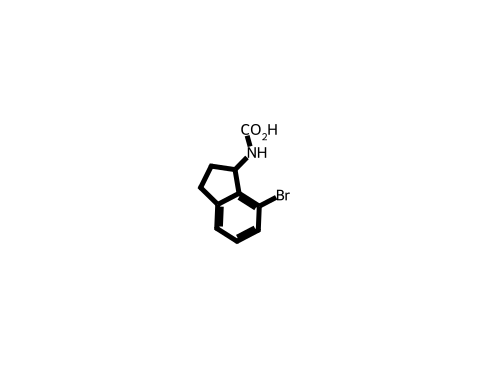 O=C(O)NC1CCc2cccc(Br)c21